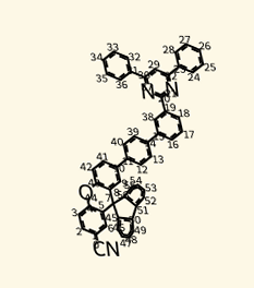 N#Cc1ccc2c(c1)C1(c3cc(-c4ccc(-c5cccc(-c6nc(-c7ccccc7)cc(-c7ccccc7)n6)c5)cc4)ccc3O2)c2ccccc2-c2ccccc21